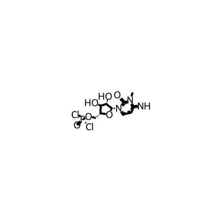 Cn1c(=N)ccn([C@@H]2O[C@H](COP(=O)(Cl)Cl)C(O)[C@@H]2O)c1=O